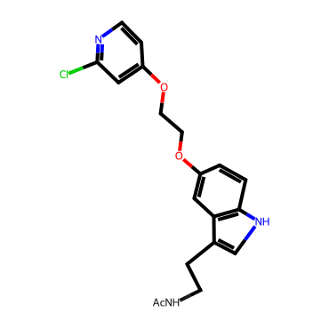 CC(=O)NCCc1c[nH]c2ccc(OCCOc3ccnc(Cl)c3)cc12